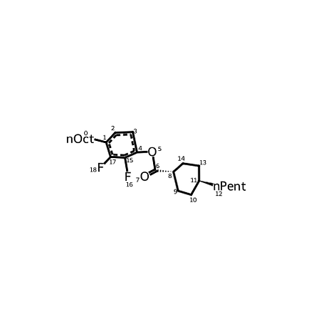 CCCCCCCCc1ccc(OC(=O)[C@H]2CC[C@H](CCCCC)CC2)c(F)c1F